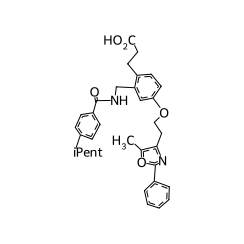 CCCC(C)c1ccc(C(=O)NCc2cc(OCCc3nc(-c4ccccc4)oc3C)ccc2CCC(=O)O)cc1